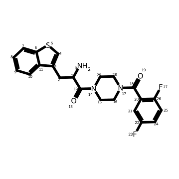 NC(Cc1csc2ccccc12)C(=O)N1CCN(C(=O)c2cc(F)ccc2F)CC1